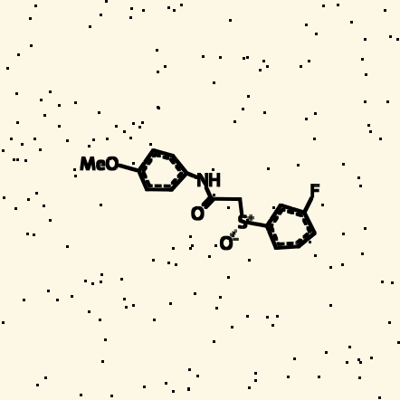 COc1ccc(NC(=O)C[S@@+]([O-])c2cccc(F)c2)cc1